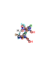 COc1nc(OC(F)F)c(F)cc1NS(=O)(=O)c1cn(CCO)c2nc(Cl)ccc12.O=S(=O)(Nc1cc(F)c(Br)cc1F)c1cn(CCOCCO)c2cc(Cl)ccc12